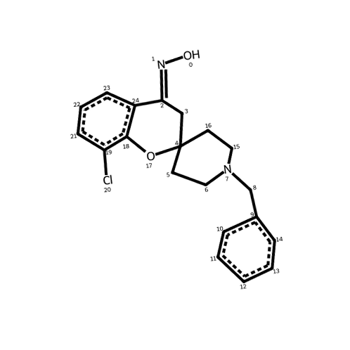 ON=C1CC2(CCN(Cc3ccccc3)CC2)Oc2c(Cl)cccc21